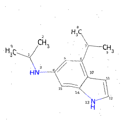 CC(C)Nc1cc(C(C)C)c2cc[nH]c2c1